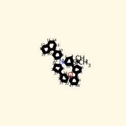 C[Si]1(C)c2ccc(N(c3ccc(-c4cccc5ccccc45)cc3)c3cccc(-c4ccccc4)c3)cc2-c2c1ccc1c2oc2ccccc21